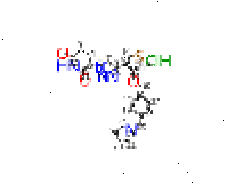 Cl.O=C1CCC(n2cc(-c3cscc3OCc3ccc(CN4CCCC4)cc3)nn2)C(=O)N1